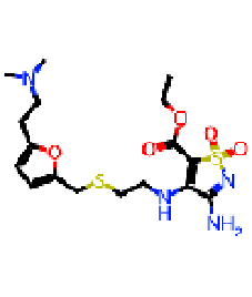 CCOC(=O)C1=C(NCCSCc2ccc(CCN(C)C)o2)C(N)=NS1(=O)=O